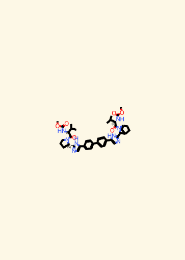 COC(=O)N[C@H](C(=O)N1C2CCC(C2)C1c1ncc(-c2ccc(-c3ccc(-c4cnc([C@@H]5CCCN5C(=O)[C@@H](NC(=O)OC)C(C)C)[nH]4)cc3)cc2)[nH]1)C(C)C